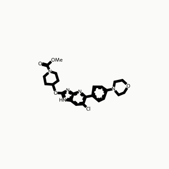 COC(=O)N1CCC(Oc2nc3nc(-c4ccc(N5CCOCC5)cc4)c(Cl)cc3[nH]2)CC1